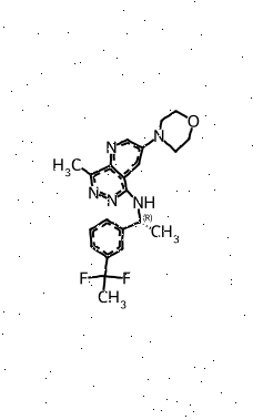 Cc1nnc(N[C@H](C)c2cccc(C(C)(F)F)c2)c2cc(N3CCOCC3)cnc12